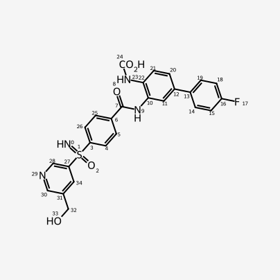 N=S(=O)(c1ccc(C(=O)Nc2cc(-c3ccc(F)cc3)ccc2NC(=O)O)cc1)c1cncc(CO)c1